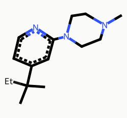 CCC(C)(C)c1ccnc(N2CCN(C)CC2)c1